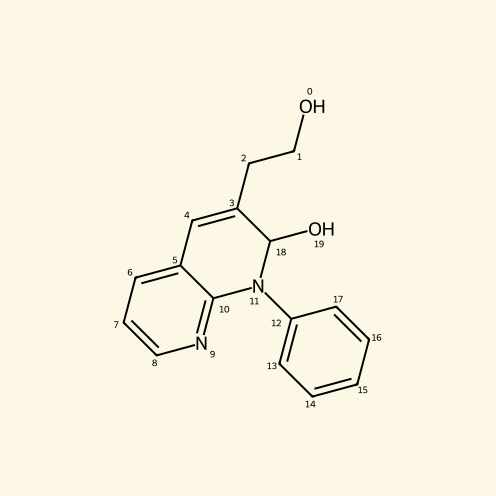 OCCC1=Cc2cccnc2N(c2ccccc2)C1O